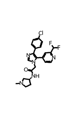 CN1CC[C@H](NC(=O)Cn2cnc(-c3ccc(Cl)cc3)c2-c2ccnc(C(F)F)c2)C1